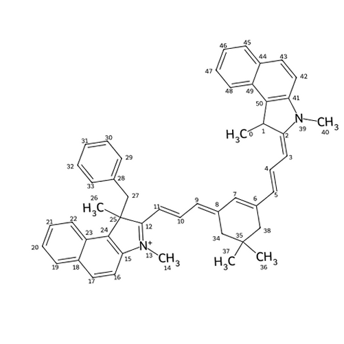 CC1/C(=C\C=C\C2=CC(=C/C=C/C3=[N+](C)c4ccc5ccccc5c4C3(C)Cc3ccccc3)/CC(C)(C)C2)N(C)c2ccc3ccccc3c21